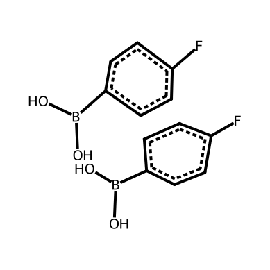 OB(O)c1ccc(F)cc1.OB(O)c1ccc(F)cc1